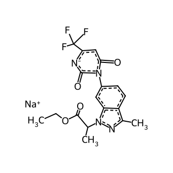 CCOC(=O)C(C)n1nc(C)c2ccc(-n3c(=O)cc(C(F)(F)F)[n-]c3=O)cc21.[Na+]